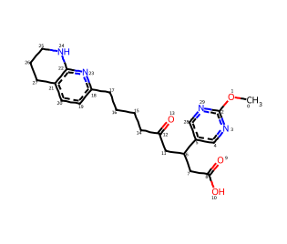 COc1ncc(C(CC(=O)O)CC(=O)CCCCc2ccc3c(n2)NCCC3)cn1